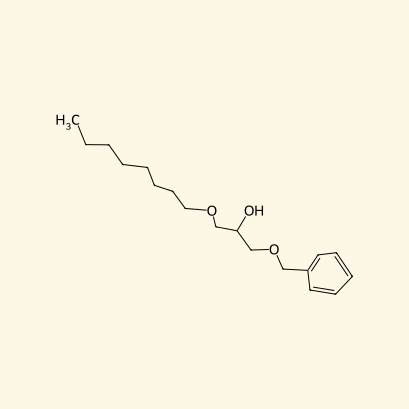 CCCCCCCCOCC(O)COCc1ccccc1